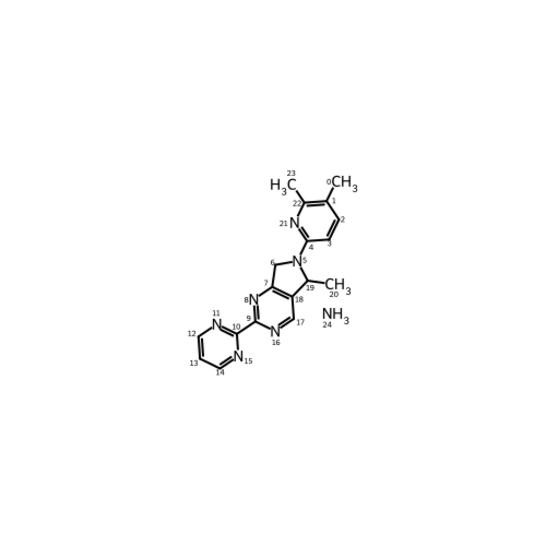 Cc1ccc(N2Cc3nc(-c4ncccn4)ncc3C2C)nc1C.N